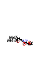 CNC(CCCCNC(=O)CCc1ccco1)C(=O)OC